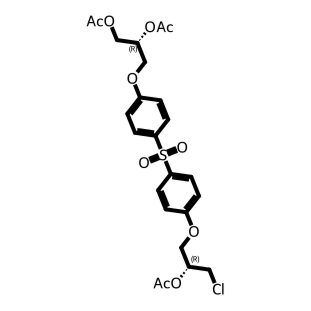 CC(=O)OC[C@@H](COc1ccc(S(=O)(=O)c2ccc(OC[C@H](CCl)OC(C)=O)cc2)cc1)OC(C)=O